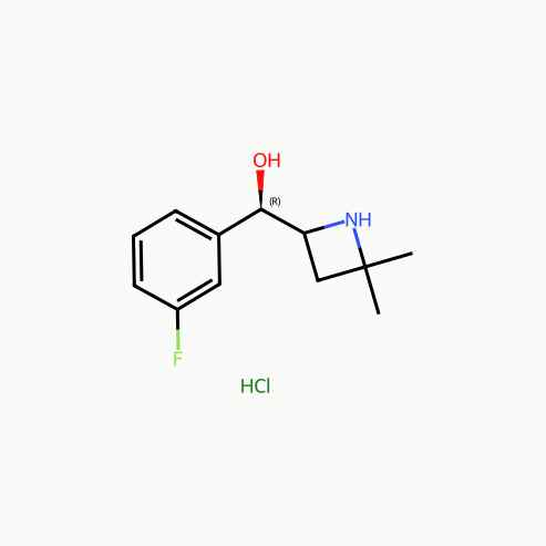 CC1(C)CC([C@H](O)c2cccc(F)c2)N1.Cl